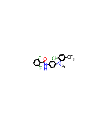 CC(C)N(c1ccc(NC(=O)c2c(F)cccc2F)cc1)c1cc(C(F)(F)F)ccc1Cl